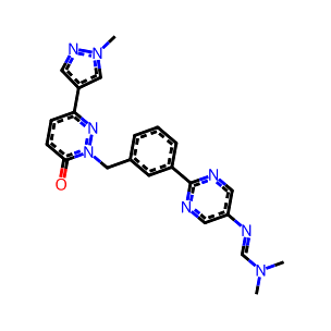 CN(C)/C=N/c1cnc(-c2cccc(Cn3nc(-c4cnn(C)c4)ccc3=O)c2)nc1